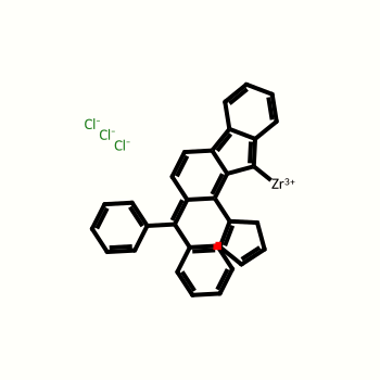 [Cl-].[Cl-].[Cl-].[Zr+3][C]1=c2ccccc2=c2ccc(=C(c3ccccc3)c3ccccc3)c(C3=CC=CC3)c21